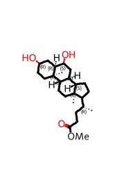 COC(=O)CC[C@@H](C)C1CC[C@H]2[C@@H]3C[C@H](O)[C@@H]4C[C@H](O)CC[C@]4(C)[C@H]3CC[C@]12C